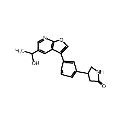 CC(O)c1cnc2occ(-c3cccc(C4CNC(=O)C4)c3)c2c1